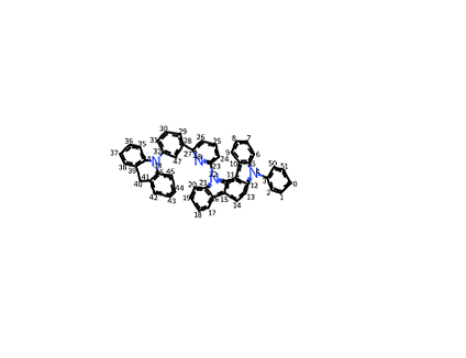 c1ccc(-n2c3ccccc3c3c2ccc2c4ccccc4n(-c4cccc(-c5cccc(N6c7ccccc7Cc7ccccc76)c5)n4)c23)cc1